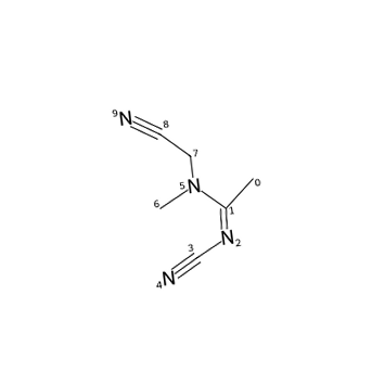 CC(=NC#N)N(C)CC#N